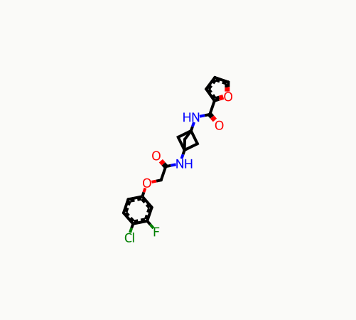 O=C(COc1ccc(Cl)c(F)c1)NC12CC(NC(=O)c3ccco3)(C1)C2